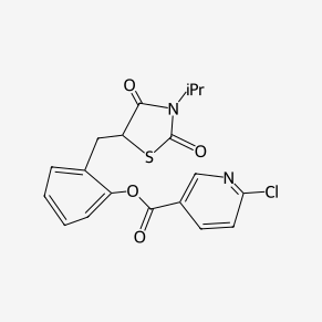 CC(C)N1C(=O)SC(Cc2ccccc2OC(=O)c2ccc(Cl)nc2)C1=O